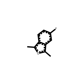 Cc1oc(C)c2cc(F)ccc12